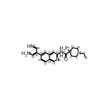 CCN1CCC(P)(C(=O)Nc2cc3cc(/C(C=N)=C/N)ccc3cn2)CC1